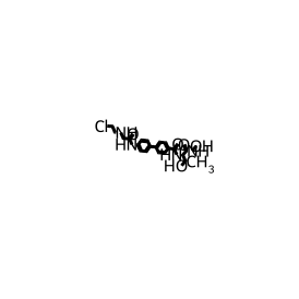 C[C@@H](O)[C@H](NC(=O)c1ccc(-c2ccc(NC(=O)CNCCCl)cc2)cc1)C(=O)NO